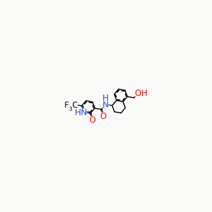 O=C(NC1CCCc2c(CO)cccc21)c1ccc(C(F)(F)F)[nH]c1=O